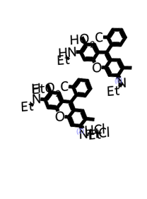 CC/N=c1/cc2oc3cc(NCC)c(C)cc3c(-c3ccccc3C(=O)OCC)c-2cc1C.CC/N=c1\cc2oc3cc(NCC)c(C)cc3c(-c3ccccc3C(=O)O)c-2cc1C.Cl.Cl